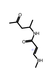 CB/C=C/C(=O)NC(C)CC(C)=O